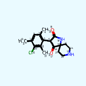 Cc1cc(C)c(C2C(=O)NC3(CCNCC3)C2=O)c(C)c1Cl